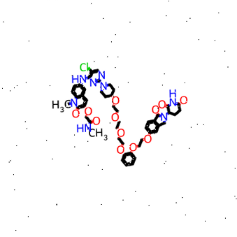 CNC(=O)COc1cc2cc(Nc3nc(N4CCC(OCCOCCOCCOc5ccccc5OCCOc5ccc6c(c5)CN(C5CCC(=O)NC5=O)C6=O)CC4)ncc3Cl)ccc2n(C)c1=O